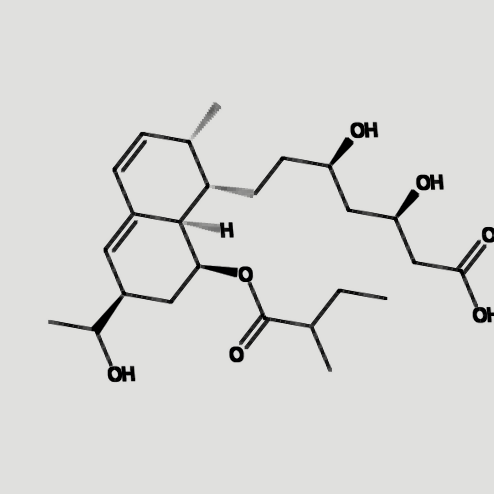 CCC(C)C(=O)O[C@H]1C[C@@H](C(C)O)C=C2C=C[C@H](C)[C@H](CC[C@@H](O)C[C@@H](O)CC(=O)O)[C@H]21